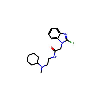 CN(CCNC(=O)Cn1c(Cl)nc2ccccc21)C1CCCCC1